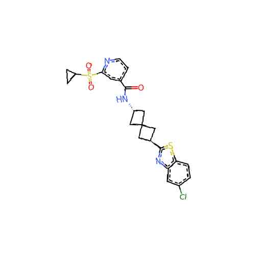 O=C(N[C@H]1CC2(C1)C[C@H](c1nc3cc(Cl)ccc3s1)C2)c1ccnc(S(=O)(=O)C2CC2)c1